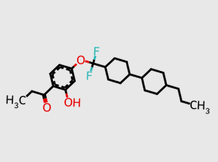 CCCC1CCC(C2CCC(C(F)(F)Oc3ccc(C(=O)CC)c(O)c3)CC2)CC1